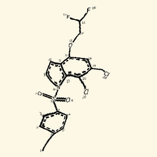 Cc1ccc(S(=O)(=O)n2ccc3c(OCC(F)F)cc(Cl)c(Cl)c32)cc1